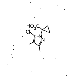 Cc1nn(C2(C(=O)O)CC2)c(Cl)c1C